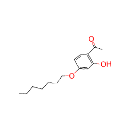 CCCCCCCOc1ccc(C(C)=O)c(O)c1